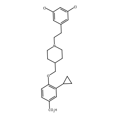 O=C(O)c1ccc(OCC2CCN(CCc3cc(Cl)cc(Cl)c3)CC2)c(C2CC2)c1